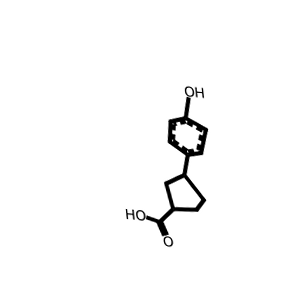 O=C(O)C1CCC(c2ccc(O)cc2)C1